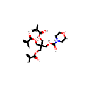 C=C(C)C(=O)OCC(COC(=O)C(=C)C)(COC(=O)C(=C)C)COC(=O)N1CCOCC1